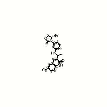 CC(Nc1nccc(N2C(=O)OC[C@@H]2C(C)C)n1)c1cc2cc(Cl)ccc2[nH]c1=O